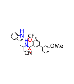 COc1cccc(-c2ccc(OC(F)(F)F)c(C(=O)NC(CC#N)Cc3c[nH]c4ccccc34)c2)c1